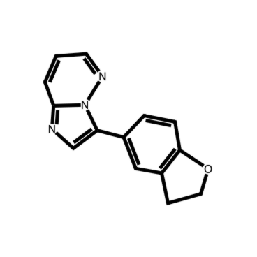 c1cnn2c(-c3ccc4c(c3)CCO4)cnc2c1